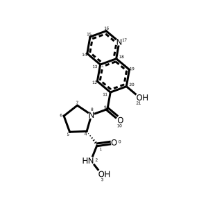 O=C(NO)[C@@H]1CCCN1C(=O)c1cc2cccnc2cc1O